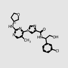 Cc1cnc(N[C@H]2CCOC2)nc1-n1cnc(C(=O)NC(CO)c2cccc(Cl)c2)c1